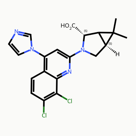 CC1(C)C2[C@@H](C(=O)O)N(c3cc(-n4ccnc4)c4ccc(Cl)c(Cl)c4n3)C[C@@H]21